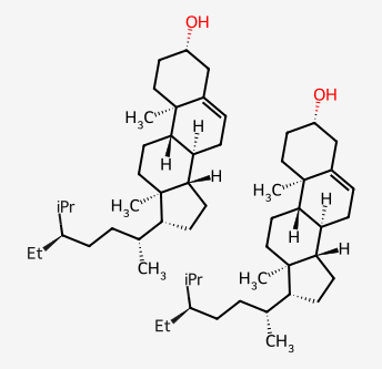 CC[C@H](CC[C@@H](C)[C@H]1CC[C@H]2[C@@H]3CC=C4C[C@@H](O)CC[C@]4(C)[C@H]3CC[C@]12C)C(C)C.CC[C@H](CC[C@@H](C)[C@H]1CC[C@H]2[C@@H]3CC=C4C[C@@H](O)CC[C@]4(C)[C@H]3CC[C@]12C)C(C)C